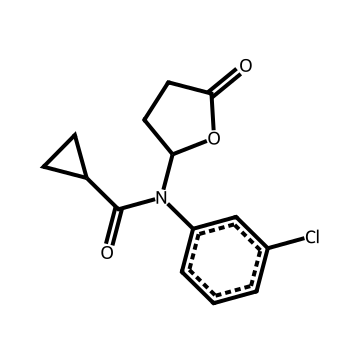 O=C1CCC(N(C(=O)C2CC2)c2cccc(Cl)c2)O1